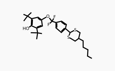 CCCCCC1CSC(c2ccc(C(F)(F)Oc3cc(C(C)(C)C)c(O)c(C(C)(C)C)c3)cc2)SC1